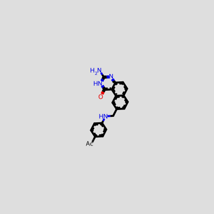 CC(=O)c1ccc(NCc2ccc3ccc4nc(N)[nH]c(=O)c4c3c2)cc1